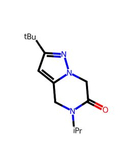 CC(C)N1Cc2cc(C(C)(C)C)nn2CC1=O